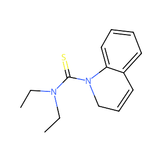 CCN(CC)C(=S)N1CC=Cc2ccccc21